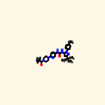 Cc1ccc(-n2nc(C(C)(C)C)cc2NC(=O)Nc2ccc(N3CCN(C(=O)C4(C)CC4)CC3)nc2)cc1